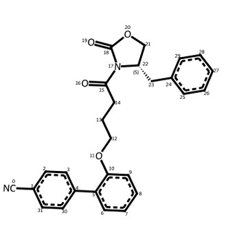 N#Cc1ccc(-c2ccccc2OCCCC(=O)N2C(=O)OC[C@@H]2Cc2ccccc2)cc1